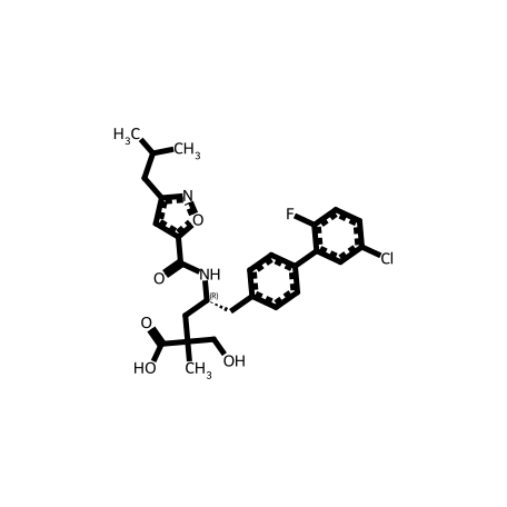 CC(C)Cc1cc(C(=O)N[C@H](Cc2ccc(-c3cc(Cl)ccc3F)cc2)CC(C)(CO)C(=O)O)on1